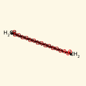 C=CC(=O)OCCOCCOCCOCCOCCOCCOCCOCCOCCOCCOCCOCCOCCOCCOC(=O)C=C